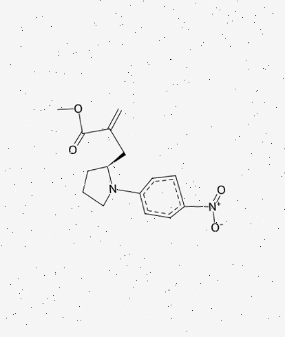 C=C(C[C@@H]1CCCN1c1ccc([N+](=O)[O-])cc1)C(=O)OC